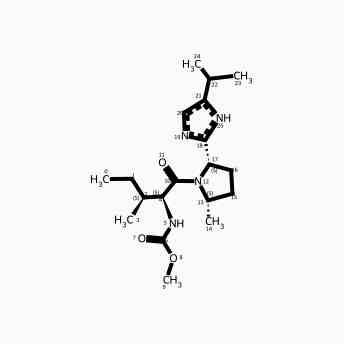 CC[C@H](C)[C@H](NC(=O)OC)C(=O)N1[C@@H](C)CC[C@H]1c1ncc(C(C)C)[nH]1